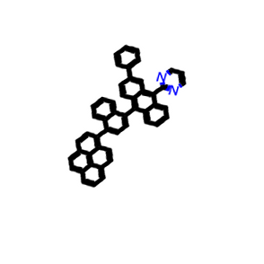 c1ccc(-c2ccc3c(-c4ccc(-c5ccc6ccc7cccc8ccc5c6c78)c5ccccc45)c4ccccc4c(-c4ncccn4)c3c2)cc1